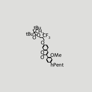 CCCCCc1ccc(-c2cc3ccc(OCC(COC(=O)C(C)(CC(C)(C)C)C(C)(C)C)C(F)(F)F)cc3oc2=O)c(OC)c1